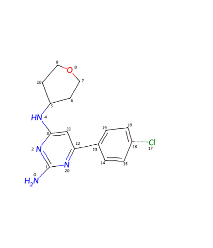 Nc1nc(NC2CCOCC2)cc(-c2ccc(Cl)cc2)n1